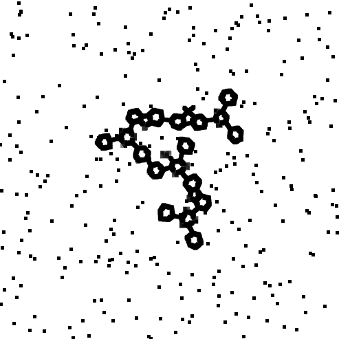 CC1(C)c2cc(-c3ccc4c(c3)sc3c(-c5nc(-c6ccccc6)nc(-c6ccc(-c7cccc(-c8nc(-c9ccc%10c(c9)sc9c(-c%11nc(-c%12ccccc%12)nc(-c%12ccccc%12)n%11)cccc9%10)nc(-c9ccccc9)c8C#N)c7)cc6)n5)cccc34)ccc2-c2ccc(-c3nc(-c4ccccc4)cc(-c4ccccc4)n3)cc21